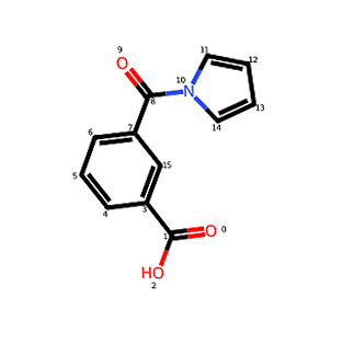 O=C(O)c1cccc(C(=O)n2cccc2)c1